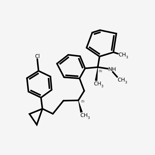 CN[C@@](C)(c1ccccc1C)c1ccccc1C[C@@H](C)CCC1(c2ccc(Cl)cc2)CC1